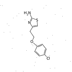 Nc1nc(CCOc2ccc(Cl)cc2)cs1